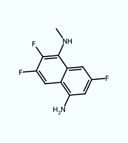 CNc1c(F)c(F)cc2c(N)cc(F)cc12